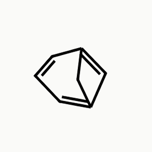 c1cc2cc(c1)C2